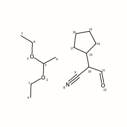 CCOC(C)OCC.N#CC(C=O)C1CCCC1